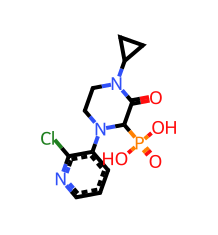 O=C1C(P(=O)(O)O)N(c2cccnc2Cl)CCN1C1CC1